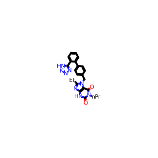 CCCn1c(=O)[nH]c2nc(CC)n(Cc3ccc(-c4ccccc4-c4nnn[nH]4)cc3)c2c1=O